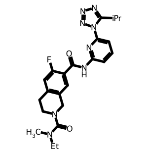 CCN(C)C(=O)N1CCc2cc(F)c(C(=O)Nc3cccc(-n4nnnc4C(C)C)n3)cc2C1